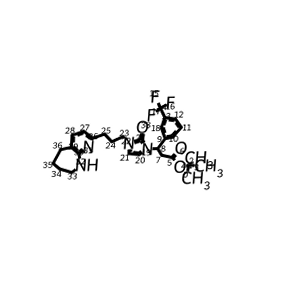 CC(C)(C)OC(=O)CC(c1cccc(C(F)(F)F)c1)n1ccn(CCCc2ccc3c(n2)NCCCC3)c1=O